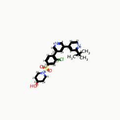 CC(C)(C)c1cc(-c2cncc(-c3ccc(S(=O)(=O)N4CCC(O)CC4)cc3Cl)c2)ccn1